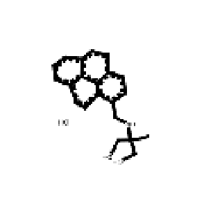 CC(CO)(CO)NCc1ccc2ccc3cccc4ccc1c2c34.Cl